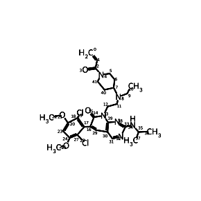 C=CC(=O)N1CCC(N(CC)CCn2c(=O)c(-c3c(Cl)c(OC)cc(OC)c3Cl)cc3cnc(NC(C)C)nc32)CC1